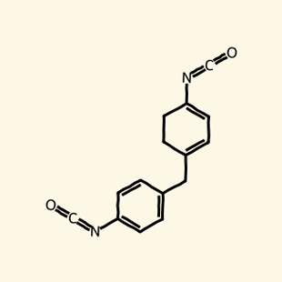 O=C=NC1=CC=C(Cc2ccc(N=C=O)cc2)CC1